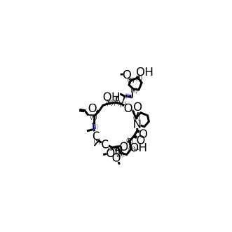 C=CC[C@@H]1/C=C(\C)C[C@H](C)C[C@H](OC)[C@H]2O[C@@](O)(C(=O)C(=O)N3CCCC[C@@]3(C)C(=O)O[C@H](/C(C)=C/[C@@H]3CC[C@@H](O)[C@H](OC)C3)[C@H](C)[C@@H](O)CC1=O)[C@H](C)C[C@@H]2OC